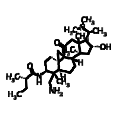 CC[C@H](C)C(=O)N[C@H]1CC[C@]23C[C@]24C(=O)C[C@]2(C)[C@@H]([C@H](C)N(C)C)[C@H](O)C[C@@]2(C)[C@@H]4CC[C@H]3[C@]1(C)CN